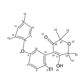 CCc1ccc(Oc2ccc(C)cc2C)cc1C1=C(O)C(C)(C)OC(C)(C)C1=O